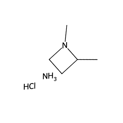 CC1CCN1C.Cl.N